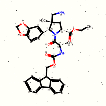 CCOC(=O)[C@H]1C[C@@](C)(CN)[C@@H](c2ccc3c(c2)OCO3)N1C(=O)[C@H](C)NC(=O)OCC1c2ccccc2-c2ccccc21